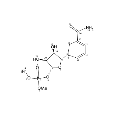 COP(=O)(OC(C)C)O[C@H]1O[C@@H](N2C=CC=C(C(N)=O)C2)[C@H](O)[C@@H]1O